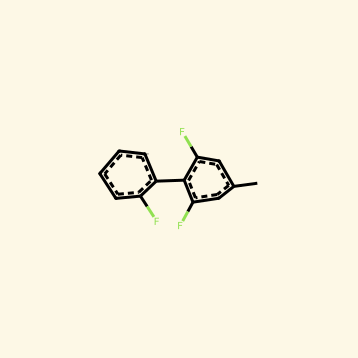 Cc1cc(F)c(-c2[c]cccc2F)c(F)c1